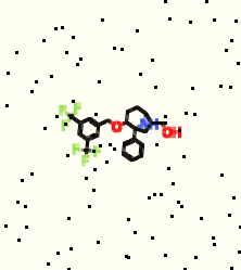 OCC1CC2(c3ccccc3)NC1CCC2OCc1cc(C(F)(F)F)cc(C(F)(F)F)c1